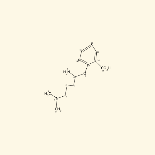 CN(C)CCCC(N)Oc1ncccc1C(=O)O